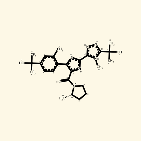 Cc1cc(C(O)(C(F)(F)F)C(F)(F)F)ccc1-c1sc(-c2nnc(C(C)(C)O)n2C)nc1C(=O)N1CCC[C@@H]1C